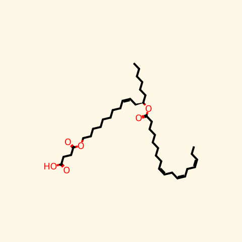 CC/C=C\C/C=C\C/C=C\CCCCCCCC(=O)O[C@@H](C/C=C\CCCCCCCCOC(=O)CCC(=O)O)CCCCCC